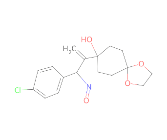 C=C(C(N=O)c1ccc(Cl)cc1)C1(O)CCC2(CC1)OCCO2